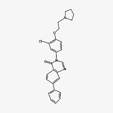 O=c1c2ccc(-c3ccccc3)cc2ncn1-c1ccc(OCCN2CCCC2)c(Cl)c1